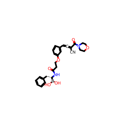 N#CC(=C=Cc1cccc(OCCC(=O)N[C@@H](Cc2ccccc2)B(O)O)c1)C(=O)N1CCOCC1